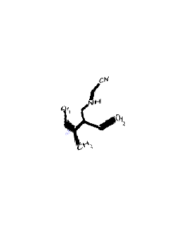 C=CC(CNCC#N)/C(C)=C\C